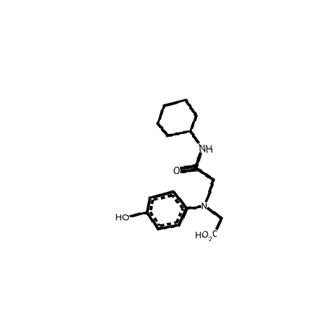 O=C(O)CN(CC(=O)NC1CCCCC1)c1ccc(O)cc1